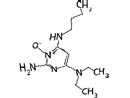 CCCCNc1cc(N(CC)CC)nc(N)[n+]1[O-]